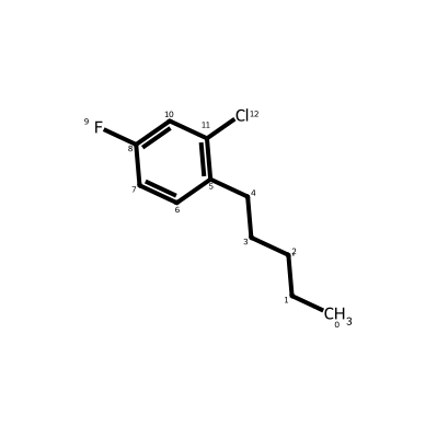 CC[CH]CCc1ccc(F)cc1Cl